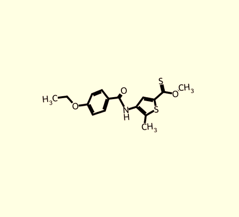 CCOc1ccc(C(=O)Nc2cc(C(=S)OC)sc2C)cc1